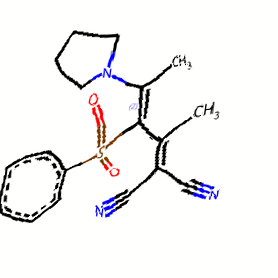 CC(=C(C#N)C#N)/C(=C(\C)N1CCCC1)S(=O)(=O)c1ccccc1